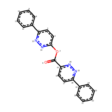 O=C(Oc1ccc(-c2ccccc2)nn1)c1ccc(-c2ccccc2)nn1